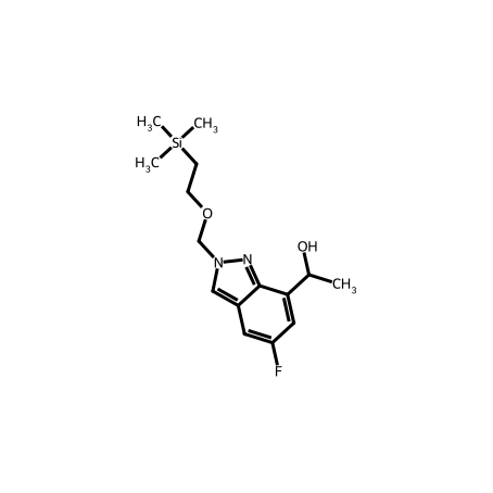 CC(O)c1cc(F)cc2cn(COCC[Si](C)(C)C)nc12